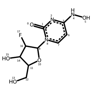 O=c1nc(NO)ccn1C1OC(CO)C(O)C1F